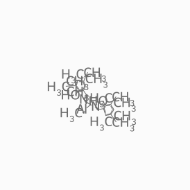 C[CH2][Al]1[CH](N=Cc2cc(C(C)(C)C)cc(C(C)(C)C)c2O)[CH]1N=Cc1cc(C(C)(C)C)cc(C(C)(C)C)c1O